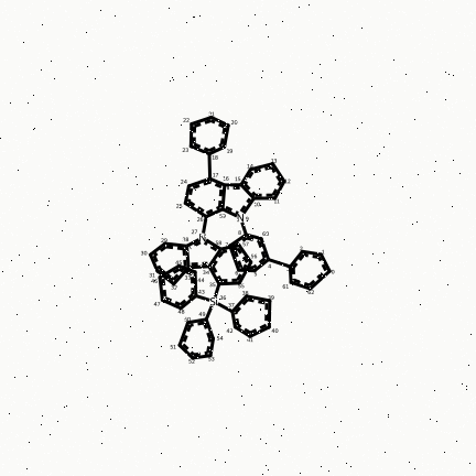 c1ccc(-c2cccc(-n3c4ccccc4c4c(-c5ccccc5)ccc(-n5c6ccccc6c6c([Si](c7ccccc7)(c7ccccc7)c7ccccc7)cccc65)c43)c2)cc1